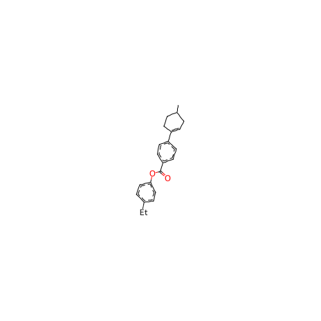 CCc1ccc(OC(=O)c2ccc(C3=CCC(C)CC3)cc2)cc1